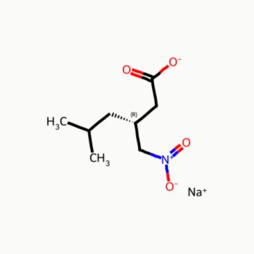 CC(C)C[C@H](CC(=O)[O-])C[N+](=O)[O-].[Na+]